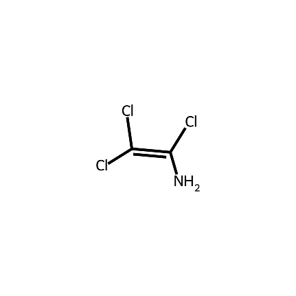 NC(Cl)=C(Cl)Cl